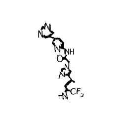 C/N=C(\C=C(/C)c1cn(CC(=O)Nc2ccc(-c3cncnc3)cn2)cn1)C(F)(F)F